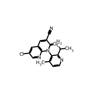 Cc1ccnc(C(C)C)c1-n1c(=O)c(C#N)cc2cc(Cl)cnc21